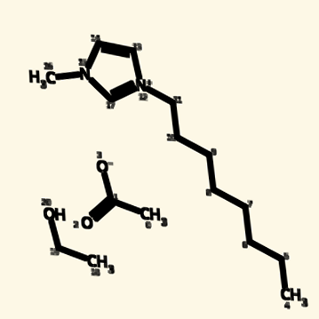 CC(=O)[O-].CCCCCCCC[n+]1ccn(C)c1.CCO